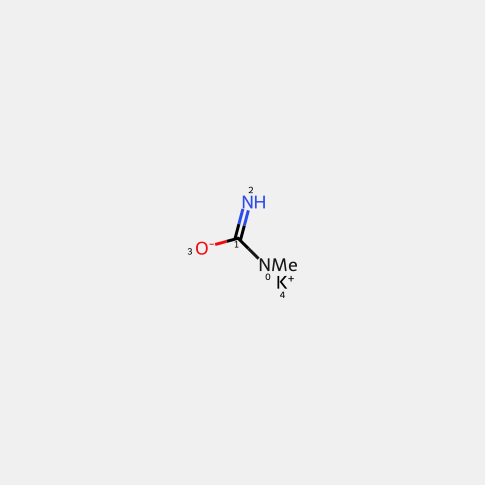 CNC(=N)[O-].[K+]